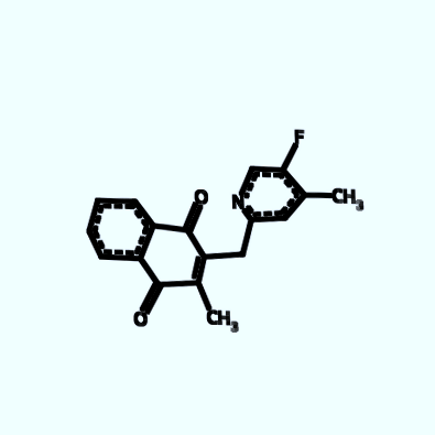 CC1=C(Cc2cc(C)c(F)cn2)C(=O)c2ccccc2C1=O